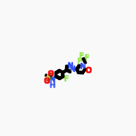 CS(=O)(=O)Nc1ccc(-c2cnn(-c3ccc(=O)n(CC(F)(F)F)c3)c2)c(F)c1